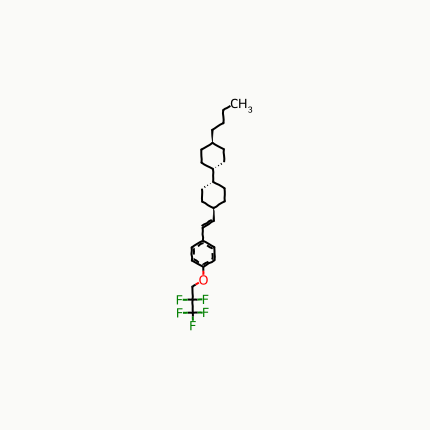 CCCC[C@H]1CC[C@H]([C@H]2CC[C@H](C=Cc3ccc(OCC(F)(F)C(F)(F)F)cc3)CC2)CC1